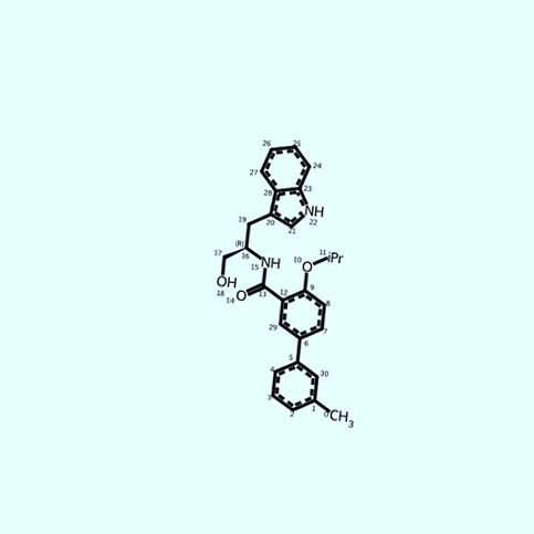 Cc1cccc(-c2ccc(OC(C)C)c(C(=O)N[C@@H](CO)Cc3c[nH]c4ccccc34)c2)c1